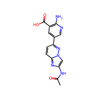 CC(=O)Nc1cn2nc(-c3cnc(N)c(C(=O)O)c3)ccc2n1